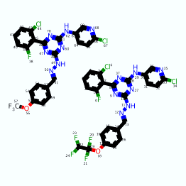 Fc1cccc(Cl)c1-c1nc(NN=Cc2ccc(OC(F)(F)C(F)F)cc2)nc(Nc2ccc(Cl)nc2)n1.Fc1cccc(Cl)c1-c1nc(NN=Cc2ccc(OC(F)(F)F)cc2)nc(Nc2ccc(Cl)nc2)n1